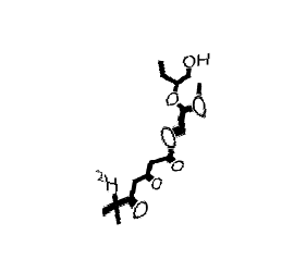 [2H]C(C)(C)C(=O)CC(=O)CC(=O)OCC(OC)OC(CC)CO